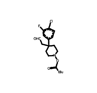 CC(C)(C)C(=O)ON1CCC(CC=O)(c2ccc(Cl)c(F)c2)CC1